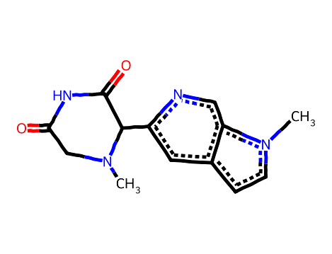 CN1CC(=O)NC(=O)C1c1cc2ccn(C)c2cn1